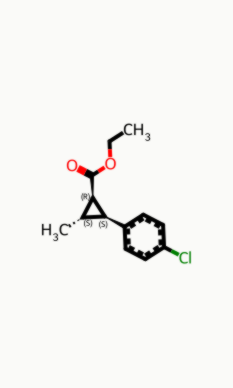 CCOC(=O)[C@@H]1[C@@H](C)[C@@H]1c1ccc(Cl)cc1